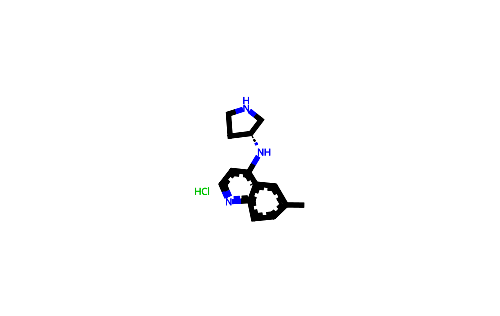 Cc1ccc2nccc(N[C@@H]3CCNC3)c2c1.Cl